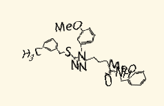 COc1cccc(-n2c(CCCC(=O)NCc3ccccc3OC)nnc2SCc2cccc(C)c2)c1